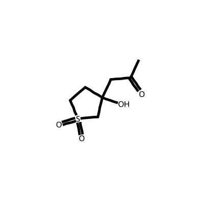 CC(=O)CC1(O)CCS(=O)(=O)C1